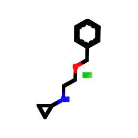 Cl.c1ccc(COCCNC2CC2)cc1